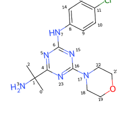 CC(C)(N)c1nc(Nc2ccc(Cl)cc2)nc(N2CCOCC2)n1